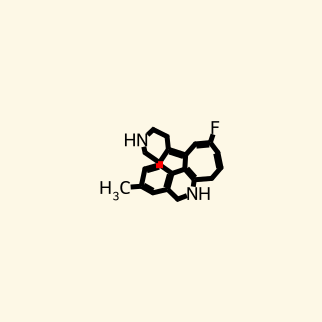 Cc1ccc2c(c1)CNC1=C2C(=C2CCNCC2)/C=C(F)\C=C/C1